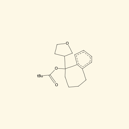 CC(C)(C)C(=O)OC1(C2CCOC2)CCCCc2ccccc21